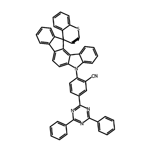 N#Cc1cc(-c2nc(-c3ccccc3)nc(-c3ccccc3)n2)ccc1-n1c2ccccc2c2c3c(ccc21)-c1ccccc1C31c2ccccc2Sc2ccccc21